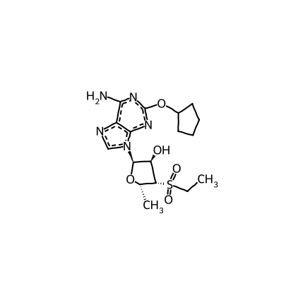 CCS(=O)(=O)[C@H]1[C@H](O)[C@H](n2cnc3c(N)nc(OC4CCCC4)nc32)O[C@H]1C